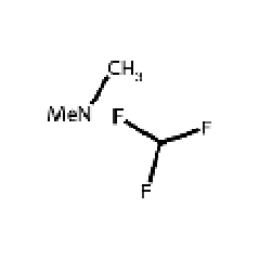 CNC.F[C](F)F